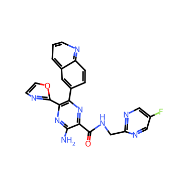 Nc1nc(-c2ncco2)c(-c2ccc3ncccc3c2)nc1C(=O)NCc1ncc(F)cn1